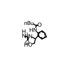 CCCCC(=O)Nc1ccccc1C(CO)NC(N)=O